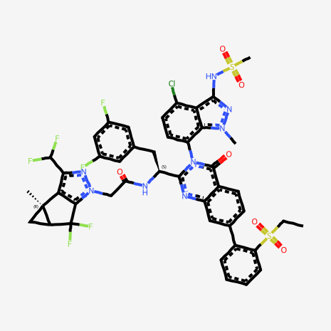 CCS(=O)(=O)c1ccccc1-c1ccc2c(=O)n(-c3ccc(Cl)c4c(NS(C)(=O)=O)nn(C)c34)c([C@H](Cc3cc(F)cc(F)c3)NC(=O)Cn3nc(C(F)F)c4c3C(F)(F)C3C[C@@]43C)nc2c1